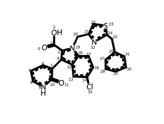 O=C(O)c1c(-c2ccc[nH]c2=O)c2cc(Cl)ccc2n1Cc1csc(Cc2ccccc2)n1